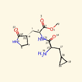 COC(=O)C(C[C@@H]1CCNC1=O)NC(=O)C(N)CC1CC1